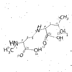 CNC(CCNC(CC(C)C)C(=O)O)C(=O)O